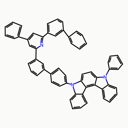 c1ccc(-c2cccc(-c3cc(-c4ccccc4)cc(-c4cccc(-c5ccc(-n6c7ccccc7c7c8c9ccccc9n(-c9ccccc9)c8ccc76)cc5)c4)n3)c2)cc1